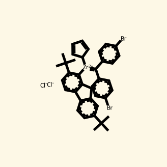 CC(C)(C)c1ccc2c(c1)Cc1c-2ccc(C(C)(C)C)[c]1[Zr+2](=[C](c1ccc(Br)cc1)c1ccc(Br)cc1)[CH]1C=CC=C1.[Cl-].[Cl-]